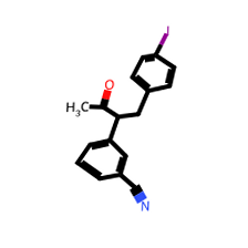 CC(=O)C(Cc1ccc(I)cc1)c1cccc(C#N)c1